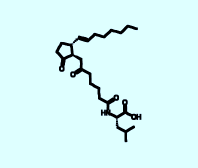 CCCCCC/C=C/[C@H]1CCC(=O)[C@@H]1CC(=O)CCCCC(=O)N[C@@H](CC(C)C)C(=O)O